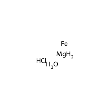 Cl.O.[Fe].[MgH2]